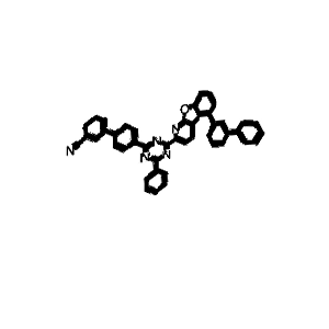 N#Cc1cccc(-c2ccc(-c3nc(-c4ccccc4)nc(-c4ccc5c(n4)oc4cccc(-c6cccc(-c7ccccc7)c6)c45)n3)cc2)c1